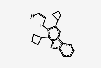 N/C=C\Nc1c(C2CCC2)cc2c(sc3ccccc32)c1C1CCC1